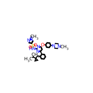 CC(C)C1(Cc2ccccc2-c2cc(Oc3ccc(N4CCN(C)CC4)cc3)nc(NS(=O)(=O)c3cnn(C)c3)n2)CC1